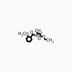 CCOC(=O)/C=C(/C)NC(=O)c1ccccc1OC